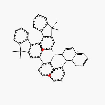 CC1(C)c2ccccc2-c2ccc(-c3ccccc3N(c3ccc4c(c3)C(C)(C)c3ccccc3-4)C3C=CC4=CC=CCC4C3c3ccccc3)cc21